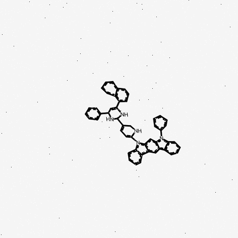 C1=C(c2cccc3ccccc23)NC(C2=CC=C(n3c4ccccc4c4cc5c6ccccc6n(-c6ccccc6)c5cc43)NC2)NC1c1ccccc1